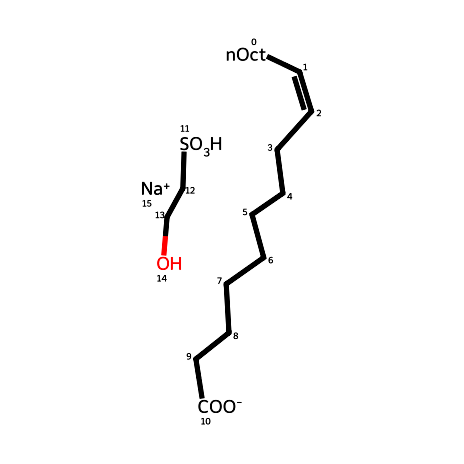 CCCCCCCC/C=C\CCCCCCCC(=O)[O-].O=S(=O)(O)CCO.[Na+]